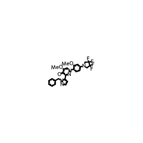 COc1cc(N2CC(F)(F)C(F)(F)C2)ccc1-n1cc(OC)c(=O)c(-c2ccnn2Cc2ccccc2)n1